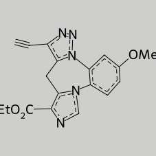 C#Cc1nnn2c1Cc1c(C(=O)OCC)ncn1-c1ccc(OC)cc1-2